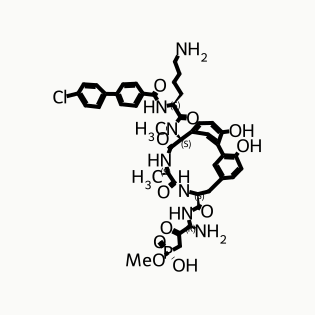 COP(=O)(O)CC(=O)[C@H](N)NC(=O)[C@@H]1Cc2ccc(O)c(c2)-c2cc(ccc2O)[C@H](N(C)C(=O)[C@H](CCCCN)NC(=O)c2ccc(-c3ccc(Cl)cc3)cc2)C(=O)N[C@@H](C)C(=O)N1